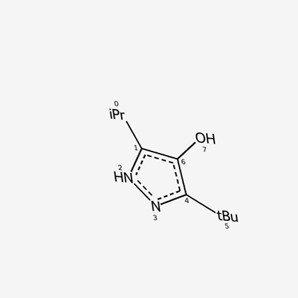 CC(C)c1[nH]nc(C(C)(C)C)c1O